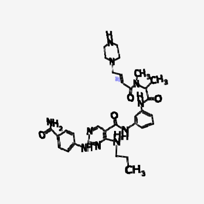 CCCNc1nc(Nc2ccc(C(N)=O)cc2)ncc1C(=O)Nc1cccc(NC(=O)C(C)N(C)C(=O)/C=C/CN2CCNCC2)c1